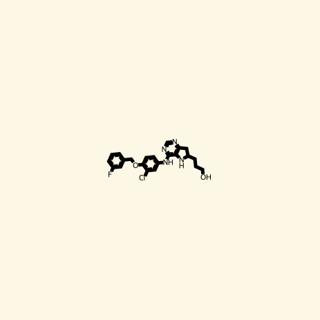 OCCCC1Cc2ncnc(Nc3ccc(OCc4cccc(F)c4)c(Cl)c3)c2N1